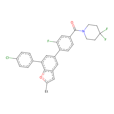 CCc1cc2cc(-c3ccc(C(=O)N4CCC(F)(F)CC4)cc3F)cc(-c3ccc(Cl)cc3)c2o1